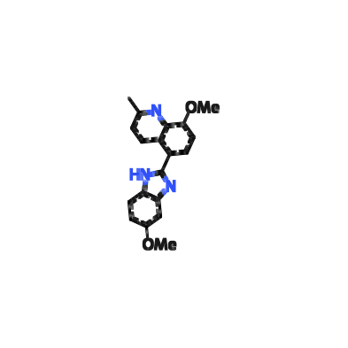 COc1ccc2[nH]c(-c3ccc(OC)c4nc(C)ccc34)nc2c1